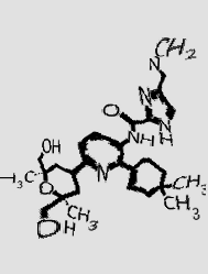 C=NCc1c[nH]c(C(=O)Nc2ccc(C3C[C@](C)(CO)O[C@](C)(CO)C3)nc2C2=CCC(C)(C)CC2)n1